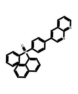 O=P(c1ccccc1)(c1ccc(-c2cnc3ncccc3c2)cc1)c1cccc2ccccc12